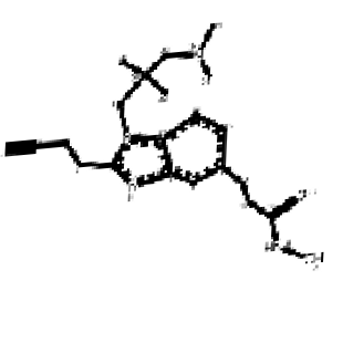 C#CCCc1nc2cc(CCC(=O)NO)ccc2n1CC(C)(C)CN(C)C